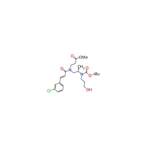 COC(=O)CCN(C[C@@H](C)N(CCCO)C(=O)OC(C)(C)C)C(=O)/C=C/c1cccc(Cl)c1